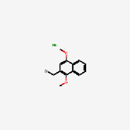 Br.COc1cc([CH2][Zn])c(OC)c2ccccc12